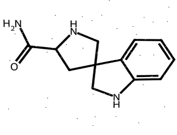 NC(=O)C1CC2(CNc3ccccc32)CN1